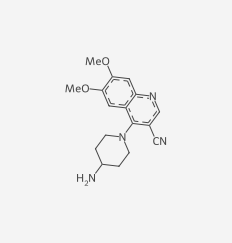 COc1cc2ncc(C#N)c(N3CCC(N)CC3)c2cc1OC